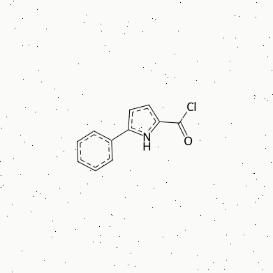 O=C(Cl)c1ccc(-c2ccccc2)[nH]1